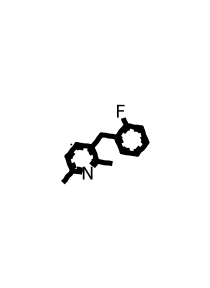 Cc1c[c]c(Cc2ccccc2F)c(C)n1